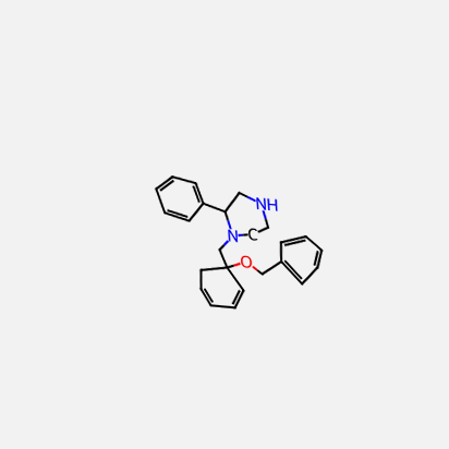 C1=CCC(CN2CCNCC2c2ccccc2)(OCc2ccccc2)C=C1